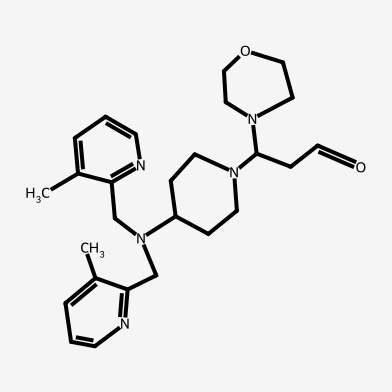 Cc1cccnc1CN(Cc1ncccc1C)C1CCN(C(CC=O)N2CCOCC2)CC1